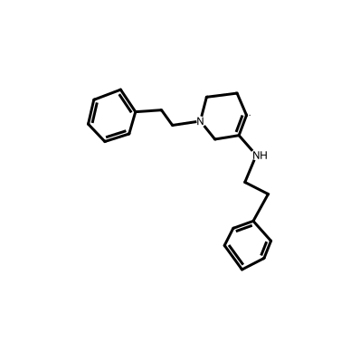 [C]1=C(NCCc2ccccc2)CN(CCc2ccccc2)CC1